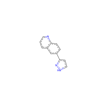 c1cnc2ccc(-c3cc[nH]n3)cc2c1